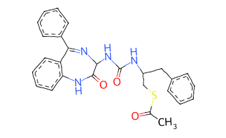 CC(=O)SCC(Cc1ccccc1)NC(=O)NC1N=C(c2ccccc2)c2ccccc2NC1=O